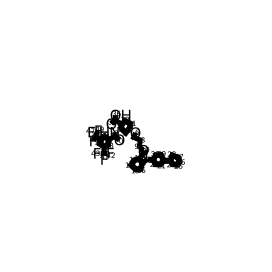 O=C(Nc1cc(OCCCON2c3ccccc3C2c2ccc(-c3ccccc3)cc2)ccc1C(=O)O)c1cc(C(F)(F)F)cc(C(F)(F)F)c1